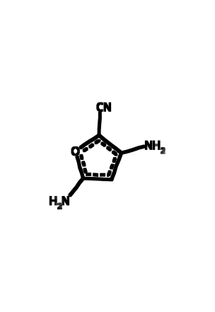 N#Cc1oc(N)cc1N